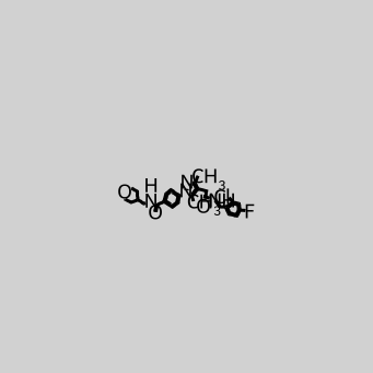 Cc1nn(-c2ccc(C(=O)NCC3CCOCC3)cc2)c(C)c1CC(=O)NCc1ccc(F)cc1Cl